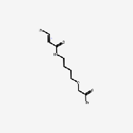 CC(C)/C=C/C(=O)NCCCCOCC(=O)C(C)C